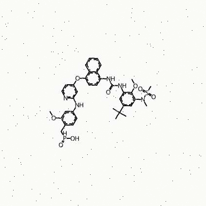 COc1cc(Nc2cc(Oc3ccc(NC(=O)Nc4cc(C(C)(C)C)cc(N(C)S(C)(=O)=O)c4OC)c4ccccc34)ccn2)ccc1C[PH](=O)O